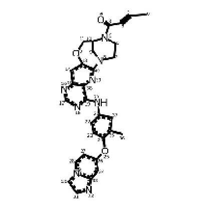 CC#CC(=O)N1CCN2CC1COc1cc3ncnc(Nc4ccc(Oc5ccn6ccnc6c5)c(C)c4)c3nc12